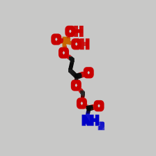 NC(=O)OCOC(=O)CCOP(=O)(O)O